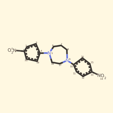 O=[N+]([O-])c1ccc(N2CCCN(c3ccc([N+](=O)[O-])cc3)CC2)cc1